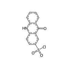 O=c1c2ccccc2[nH]c2ccc(S(=O)(=O)Cl)cc12